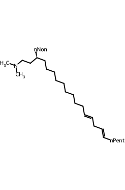 CCCCCC=CCC=CCCCCCCCCC[C@H](CCCCCCCCC)CCN(C)C